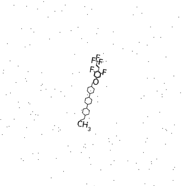 CCCC1CCC(C2CCC(C3CCC(COc4cc(F)c(/C=C/C(F)(F)F)c(F)c4)CC3)CC2)CC1